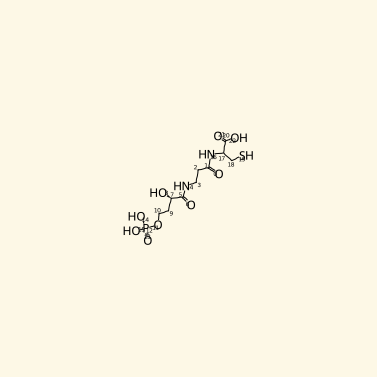 O=C(CCNC(=O)[C@H](O)CCOP(=O)(O)O)NC(CS)C(=O)O